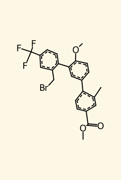 COC(=O)c1ccc(-c2ccc(OC)c(-c3ccc(C(F)(F)F)cc3CBr)c2)c(C)c1